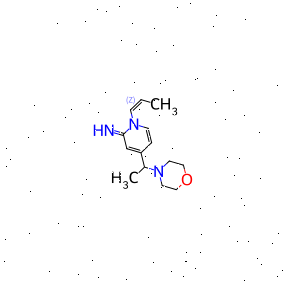 C/C=C\n1ccc(C(C)N2CCOCC2)cc1=N